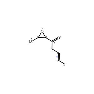 C/C=C/CC(=O)C1OC1CC